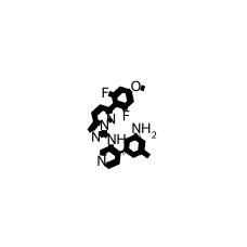 COc1cc(F)c(-c2ccc3cnc(Nc4cnccc4[C@@H]4CC(C)=C[C@H](N)C4)n3n2)c(F)c1